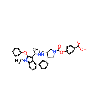 CC(NC[C@H]1CN(C(=O)Oc2ccc(C(=O)O)cc2)C[C@@H]1c1ccccc1)c1c(Oc2ccccc2)n(C)c2ccccc12